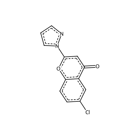 O=c1cc(-n2cccn2)oc2ccc(Cl)cc12